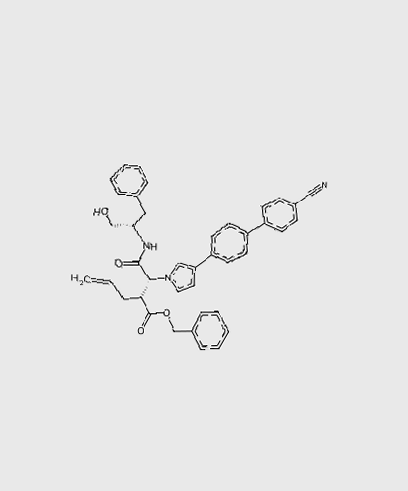 C=CCC(C(=O)OCc1ccccc1)[C@H](C(=O)N[C@H](CO)Cc1ccccc1)n1ccc(-c2ccc(-c3ccc(C#N)cc3)cc2)c1